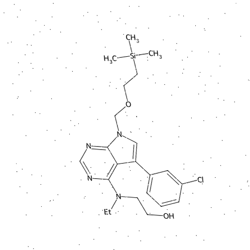 CCN(CCO)c1ncnc2c1c(-c1cccc(Cl)c1)cn2COCC[Si](C)(C)C